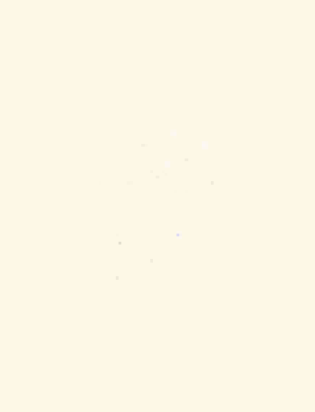 C=C1NCCC=C1C/C(=C\C)C1=CCC=C2\C=C/C(c3c[nH]nc3-c3cccc(C)n3)=C/C=C/C2=C1